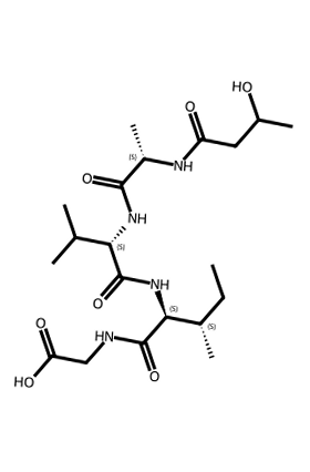 CC[C@H](C)[C@H](NC(=O)[C@@H](NC(=O)[C@H](C)NC(=O)CC(C)O)C(C)C)C(=O)NCC(=O)O